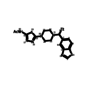 CCC(c1ccc2scnc2c1)N1CCN(c2nnc(NC(C)=O)s2)CC1